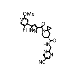 COc1cc(-c2cc(C(=O)N3CC[C@H](C(=O)NCc4ncc(C#N)cn4)CC34CC4)n[nH]2)c(F)cn1